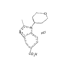 Cc1nc2cc(C(=O)O)ccc2n1C1CCOCC1.Cl